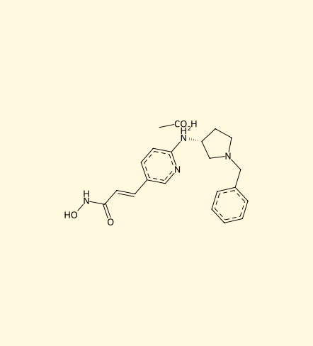 CC(=O)O.O=C(/C=C/c1ccc(N[C@@H]2CCN(Cc3ccccc3)C2)nc1)NO